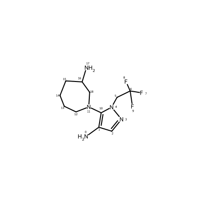 Nc1cnn(CC(F)(F)F)c1N1CCCCC(N)C1